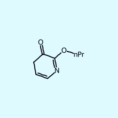 CCCOC1=NC=CCC1=O